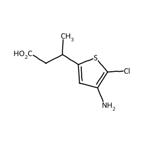 CC(CC(=O)O)c1cc(N)c(Cl)s1